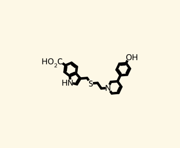 O=C(O)c1ccc2c(CSCCN3CC=CC(c4ccc(O)cc4)C3)c[nH]c2c1